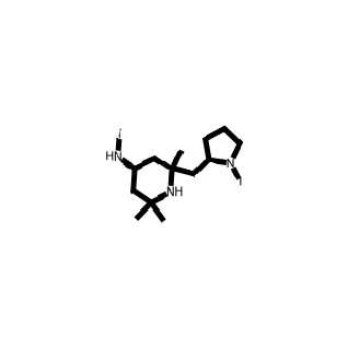 CC1(C)CC(NI)CC(C)(CC2CCCN2I)N1